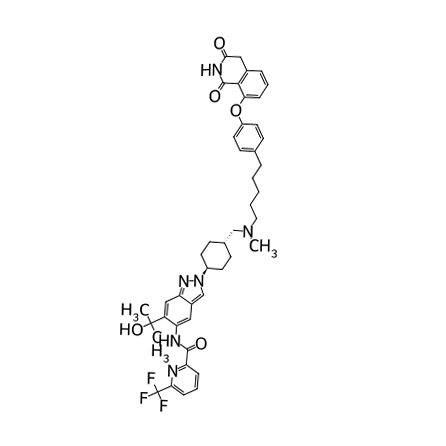 CN(CCCCCc1ccc(Oc2cccc3c2C(=O)NC(=O)C3)cc1)C[C@H]1CC[C@H](n2cc3cc(NC(=O)c4cccc(C(F)(F)F)n4)c(C(C)(C)O)cc3n2)CC1